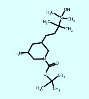 CC(C)(C)OC(=O)N1CC(N)CC(CCC(C)(C)[Si](C)(C)O)C1